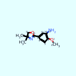 COc1ccc(C2=NC(C)(C)CO2)cc1N